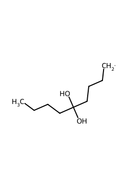 [CH2]CCCC(O)(O)CCCC